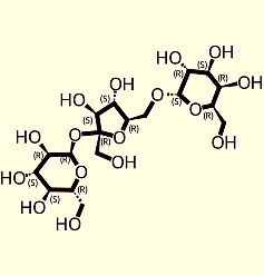 OC[C@H]1O[C@H](OC[C@H]2O[C@](CO)(O[C@H]3O[C@H](CO)[C@@H](O)[C@H](O)[C@H]3O)[C@@H](O)[C@@H]2O)[C@H](O)[C@@H](O)[C@H]1O